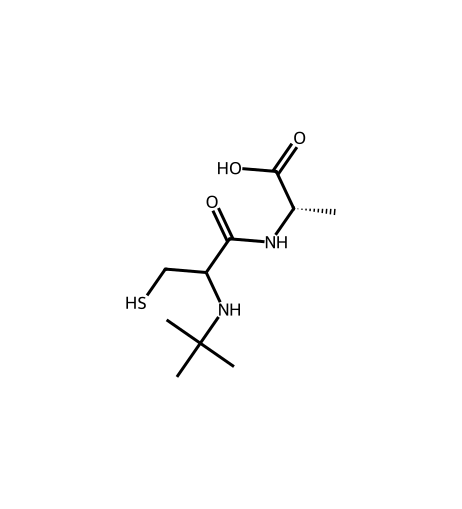 C[C@H](NC(=O)C(CS)NC(C)(C)C)C(=O)O